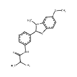 COc1ccc2c(c1)N(C)C(c1cncc(NC(=O)C(C)C)c1)S2